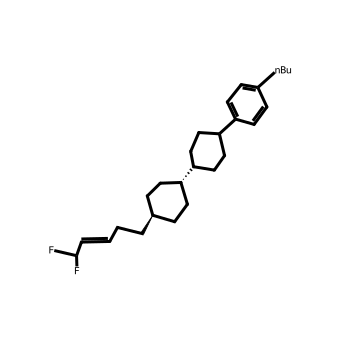 CCCCc1ccc(C2CCC([C@H]3CC[C@H](CC/C=C/C(F)F)CC3)CC2)cc1